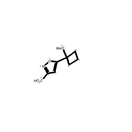 COC1(c2cc(C(=O)O)no2)CCC1